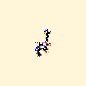 Cc1ncsc1CCCNC(=O)[C@@H]1C[C@@H](O)CN1C(=O)[C@@H](n1cc(C2CC2)nn1)C(C)(C)C